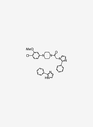 COc1cc(N2CCN(C(=O)Cn3ccnc3-c3ccccc3)CC2)ccc1Cl.c1ccc(-c2ncc[nH]2)cc1